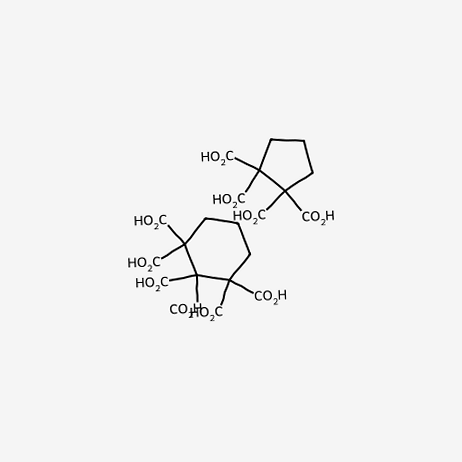 O=C(O)C1(C(=O)O)CCCC(C(=O)O)(C(=O)O)C1(C(=O)O)C(=O)O.O=C(O)C1(C(=O)O)CCCC1(C(=O)O)C(=O)O